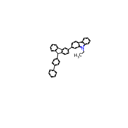 CCn1c2ccccc2c2ccc(-c3ccc4c(c3)-c3ccccc3C4c3ccc(-c4ccccc4)cc3)cc21